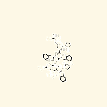 N=C(N)NCCC[C@H](NC(=O)[C@@H]1CCCN1)C(=O)N[C@@H](Cc1ccccc1)C(=O)N[C@@H](Cc1ccccc1)C(=O)N[C@@H](CC(N)=O)C(=O)N[C@@H](CC(=O)O)C(=O)N[C@@H](Cc1ccccc1)C(=O)N1CCC[C@@H]1C(=O)O